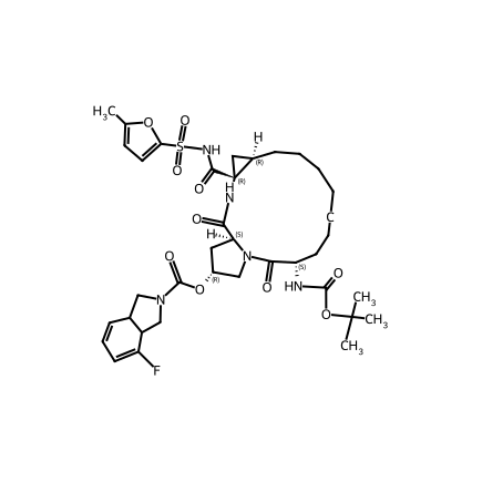 Cc1ccc(S(=O)(=O)NC(=O)[C@@]23C[C@H]2CCCCCCC[C@H](NC(=O)OC(C)(C)C)C(=O)N2C[C@H](OC(=O)N4CC5C=CC=C(F)C5C4)C[C@H]2C(=O)N3)o1